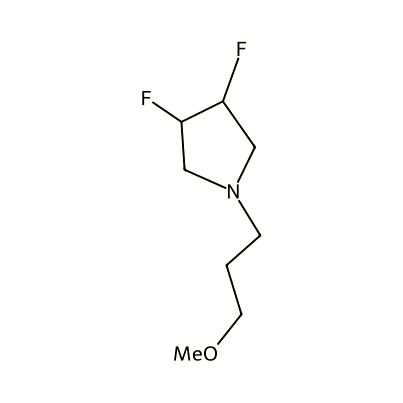 COCCCN1CC(F)C(F)C1